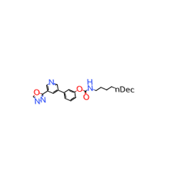 CCCCCCCCCCCCCCNC(=O)Oc1cccc(-c2cncc(-c3nnco3)c2)c1